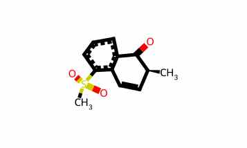 C[C@H]1C=Cc2c(cccc2S(C)(=O)=O)C1=O